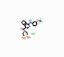 Cl.O=C(c1cnc(Nc2cccc(OC(F)(F)F)c2)c2c1C1CCC2C1)N1CCS(O)(O)CC1